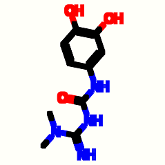 CN(C)C(=N)NC(=O)Nc1ccc(O)c(O)c1